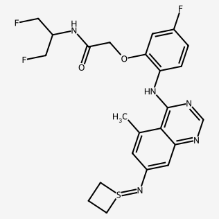 Cc1cc(N=S2CCC2)cc2ncnc(Nc3ccc(F)cc3OCC(=O)NC(CF)CF)c12